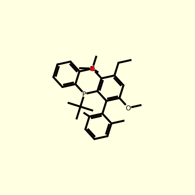 CCc1cc(OC)c(-c2c(C)cccc2C)c(P(c2ccccc2N(C)C)C(C)(C)C)c1OC